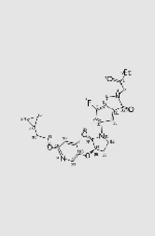 CCC(=O)CN1Cc2c(F)cc(N3CC[C@@H](Oc4ccc(OCCC5CC5)nc4)C3=O)cc2C1=O